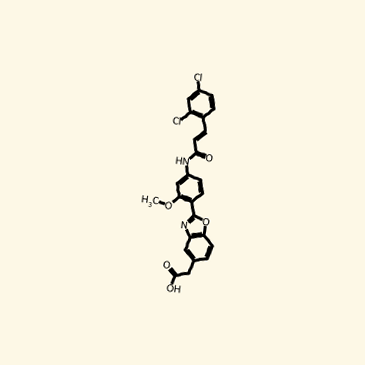 COc1cc(NC(=O)C=Cc2ccc(Cl)cc2Cl)ccc1-c1nc2cc(CC(=O)O)ccc2o1